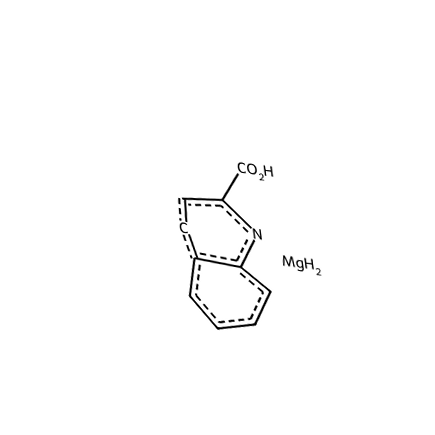 O=C(O)c1ccc2ccccc2n1.[MgH2]